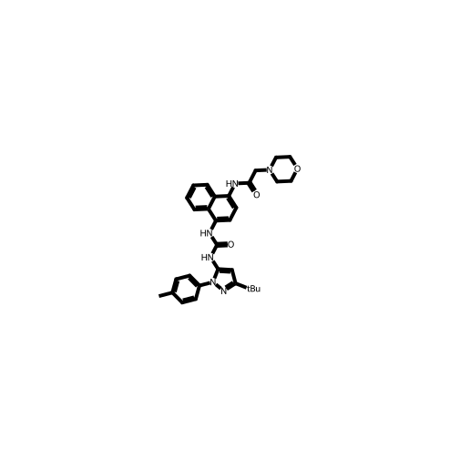 Cc1ccc(-n2nc(C(C)(C)C)cc2NC(=O)Nc2ccc(NC(=O)CN3CCOCC3)c3ccccc23)cc1